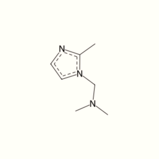 Cc1nccn1CN(C)C